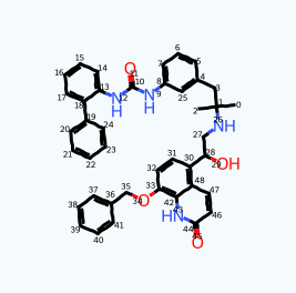 CC(C)(Cc1cccc(NC(=O)Nc2ccccc2-c2ccccc2)c1)NCC(O)c1ccc(OCc2ccccc2)c2[nH]c(=O)ccc12